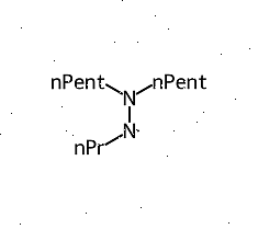 CCCCCN(CCCCC)[N]CCC